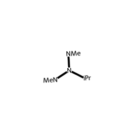 CNN(NC)C(C)C